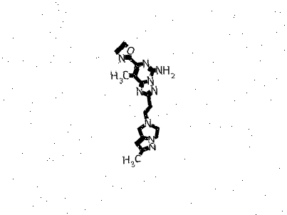 Cc1cc2n(n1)CCN(CCc1nc3c(C)c(-c4ncco4)nc(N)n3n1)C2